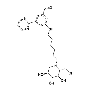 O=Cc1cc(NCCCCCCN2C[C@H](O)[C@@H](O)[C@H](O)[C@H]2CO)cc(-c2ncccn2)c1